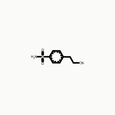 N#CCCc1ccc(S(N)(=O)=O)cc1